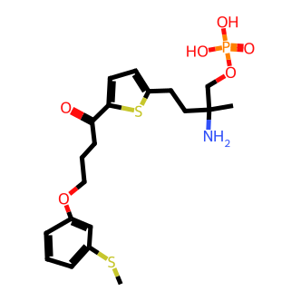 CSc1cccc(OCCCC(=O)c2ccc(CCC(C)(N)COP(=O)(O)O)s2)c1